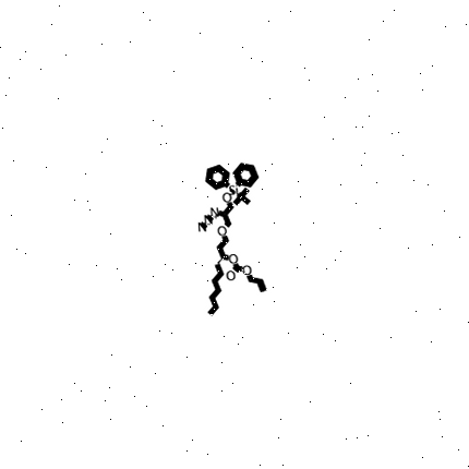 C=CCOC(=O)O[C@H](CCCCCCC)CCOCC(CO[Si](c1ccccc1)(c1ccccc1)C(C)(C)C)N=[N+]=[N-]